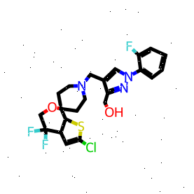 OCc1nn(-c2ccccc2F)cc1CN1CCC2(CC1)OCC(F)(F)C1C=C(Cl)SC12